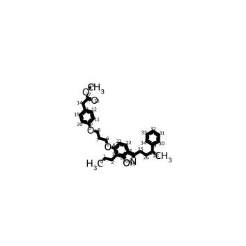 CCCc1c(OCCCOc2ccc(CC(=O)OC)cc2)ccc2c(CCC(C)c3ccccc3)noc12